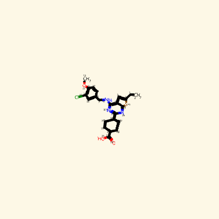 CCc1cc2c(NCc3ccc(OC)c(Cl)c3)nc(C3CCC(C(=O)O)CC3)nc2s1